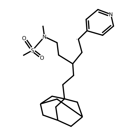 CN(CCC(C[CH]c1ccncc1)CCC12CC3CC(CC(C3)C1)C2)S(C)(=O)=O